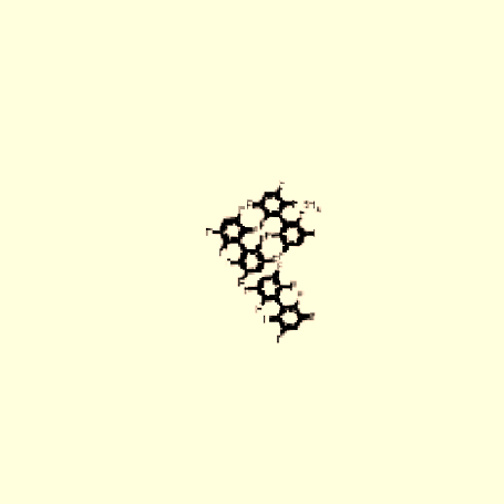 B.Fc1cc(F)c(F)c(-c2c(F)c(F)cc(F)c2F)c1F.Fc1cc(F)c(F)c(-c2c(F)c(F)cc(F)c2F)c1F.Fc1cc(F)c(F)c(-c2c(F)c(F)cc(F)c2F)c1F